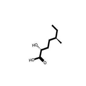 CC[C@@H](C)CC[C@@H](O)C(=O)O